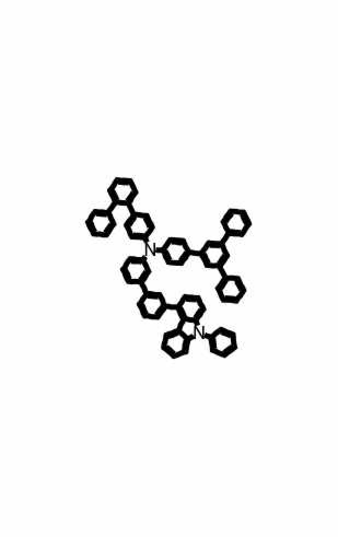 c1ccc(-c2cc(-c3ccccc3)cc(-c3ccc(N(c4ccc(-c5ccccc5-c5ccccc5)cc4)c4cccc(-c5cccc(-c6cccc7c6c6ccccc6n7-c6ccccc6)c5)c4)cc3)c2)cc1